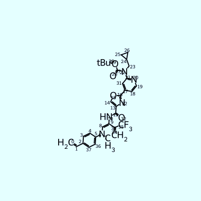 C=Cc1ccc(N(C)/C=C(/NC(=O)c2coc(-c3ccnc(N(CC4CC4)C(=O)OC(C)(C)C)c3)n2)C(=C)C(F)(F)F)cc1